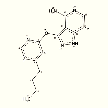 CCCCc1ccnc(Oc2n[nH]c3ncnc(N)c23)c1